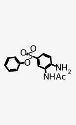 CC(=O)Nc1cc(S(=O)(=O)Oc2ccccc2)ccc1N